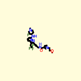 COCCn1ccc(C(=O)NCC#Cc2nn3c(N[C@@H]4CCN(C)C[C@@H]4F)cccc3c2CC(F)(F)F)c1